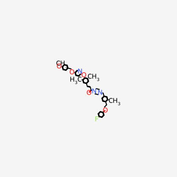 COc1ccc(COc2ccc(Oc3c(C)cc(/C=C/C(=O)N4CCN(Cc5ccc(CCOc6ccc(F)cc6)c(C)c5)CC4)cc3C)nc2)cc1